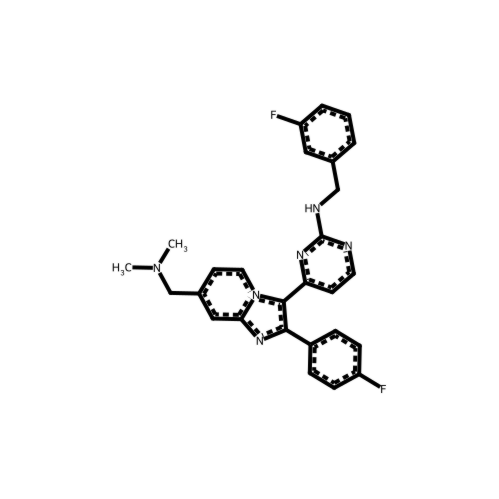 CN(C)Cc1ccn2c(-c3ccnc(NCc4cccc(F)c4)n3)c(-c3ccc(F)cc3)nc2c1